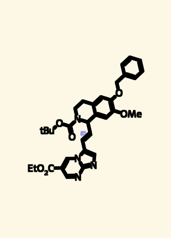 CCOC(=O)c1cnc2ncc(/C=C/C3c4cc(OC)c(OCc5ccccc5)cc4CCN3C(=O)OC(C)(C)C)n2c1